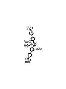 COc1cc(C2=CCN(C(=O)OC(C)(C)C)CC2)ccc1-c1nnc(-c2ccc(C3=CCN(C(=O)OC(C)(C)C)CC3)cc2OC)n1CCO